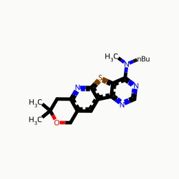 CCCCN(C)c1ncnc2c1sc1nc3c(cc12)COC(C)(C)C3